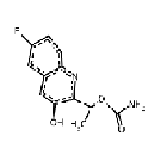 CC(OC(N)=O)c1nc2ccc(F)cc2cc1O